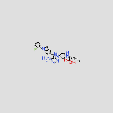 C[C@@H](N[C@H]1CC[C@@H](n2nc(-c3ccc4c(ccn4Cc4ccccc4F)c3)c3c(N)ncnc32)CC1)C(=O)O